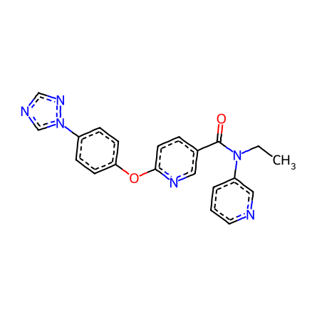 CCN(C(=O)c1ccc(Oc2ccc(-n3cncn3)cc2)nc1)c1cccnc1